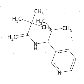 C=C(NC(c1cccnc1)C(C)C)C(C)(C)C